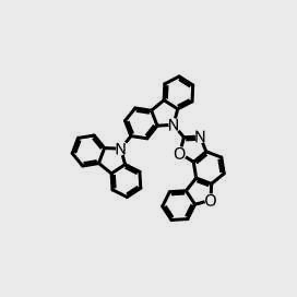 c1ccc2c(c1)oc1ccc3nc(-n4c5ccccc5c5ccc(-n6c7ccccc7c7ccccc76)cc54)oc3c12